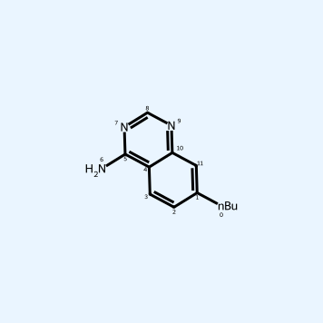 [CH2]CCCc1ccc2c(N)ncnc2c1